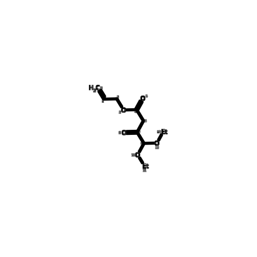 C=CCOC(=O)CC(=O)C(OCC)OCC